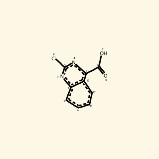 O=C(O)c1nc(Cl)nc2ccccc12